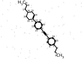 CCCc1ccc(C#Cc2ccc(C3=CCC(CCC)CC3)cc2)cc1